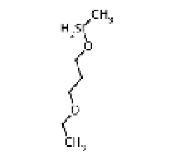 CCOCCCO[SiH2]C